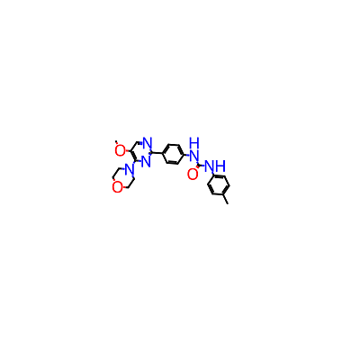 COc1cnc(-c2ccc(NC(=O)Nc3ccc(C)cc3)cc2)nc1N1CCOCC1